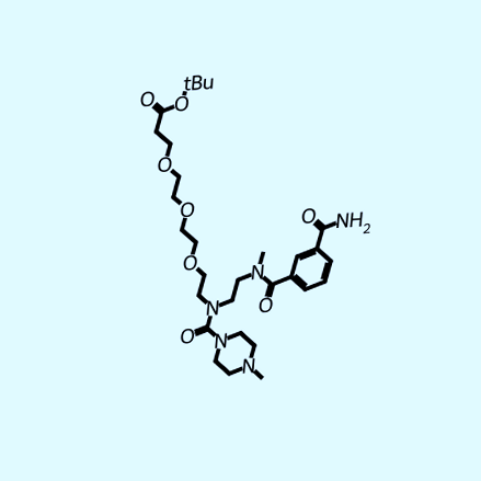 CN1CCN(C(=O)N(CCOCCOCCOCCC(=O)OC(C)(C)C)CCN(C)C(=O)c2cccc(C(N)=O)c2)CC1